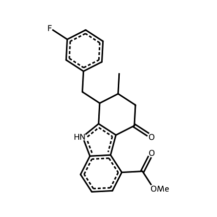 COC(=O)c1cccc2[nH]c3c(c12)C(=O)CC(C)C3Cc1cccc(F)c1